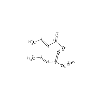 CC=CC(=O)[O-].CC=CC(=O)[O-].[Zn+2]